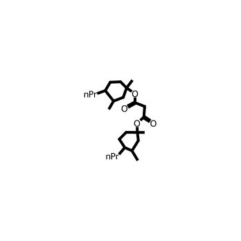 CCCC1CCC(C)(OC(=O)CC(=O)OC2(C)CCC(CCC)C(C)C2)CC1C